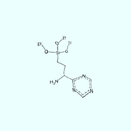 CCO[Si](CCC(N)c1ncncn1)(OCC)OCC